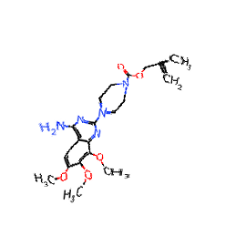 C=C(C)COC(=O)N1CCN(c2nc(N)c3cc(OC)c(OC)c(OC)c3n2)CC1